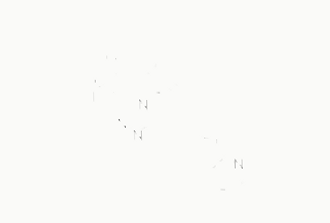 FC1c2nnc([C@H]3CC[C@H](Oc4ccccn4)CC3)n2-c2ccccc2CC12OCCO2